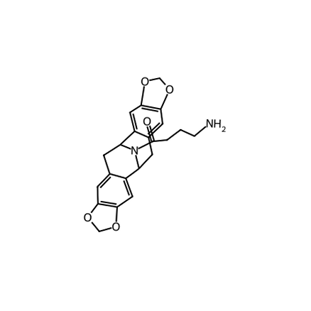 NCCCC(=O)N1C2Cc3cc4c(cc3C1Cc1cc3c(cc12)OCO3)OCO4